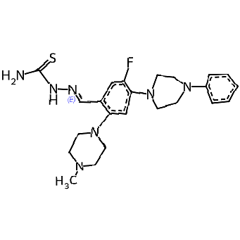 CN1CCN(c2cc(N3CCN(c4ccccc4)CC3)c(F)cc2/C=N/NC(N)=S)CC1